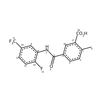 Cc1ccc(C(=O)Nc2cc(C(F)(F)F)ccc2F)cc1C(=O)O